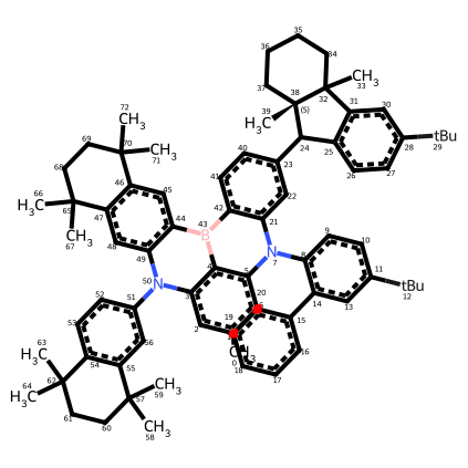 Cc1cc2c3c(c1)N(c1ccc(C(C)(C)C)cc1-c1ccccc1)c1cc(C4c5ccc(C(C)(C)C)cc5C5(C)CCCC[C@@]45C)ccc1B3c1cc3c(cc1N2c1ccc2c(c1)C(C)(C)CCC2(C)C)C(C)(C)CCC3(C)C